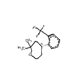 CC1(C)C[C@H](c2ccccc2C(F)(F)F)CCO1